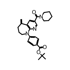 C=C1CCCN(c2ccc(C(=O)OC(C)(C)C)cc2)c2ncc(C(=O)N3CCCCC3)cc21